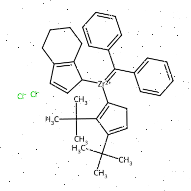 CC(C)(C)C1=CC[C]([Zr+2](=[C](c2ccccc2)c2ccccc2)[CH]2C=CC3=C2CCCC3)=C1C(C)(C)C.[Cl-].[Cl-]